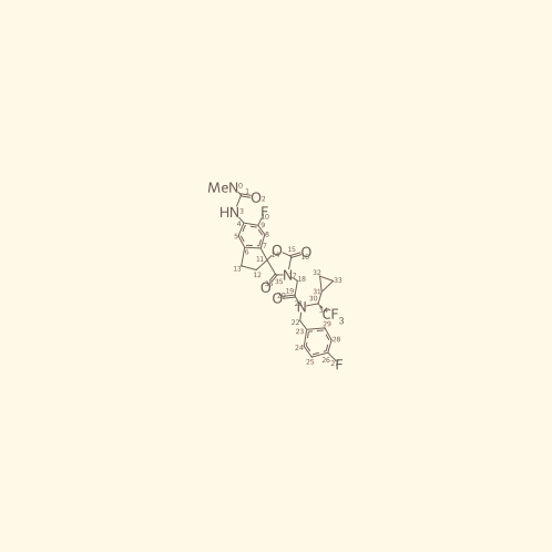 CNC(=O)Nc1cc2c(cc1F)C1(CC2)OC(=O)N(CC(=O)N(Cc2ccc(F)cc2)[C@@H](C2CC2)C(F)(F)F)C1=O